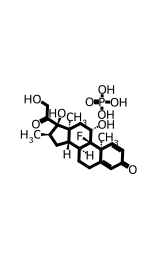 C[C@@H]1C[C@H]2[C@@H]3CCC4=CC(=O)C=C[C@]4(C)[C@@]3(F)[C@@H](O)C[C@]2(C)[C@@]1(O)C(=O)CO.O=P(O)(O)O